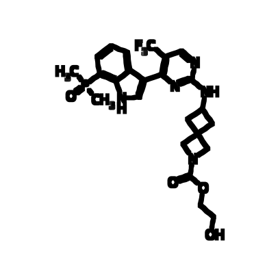 CP(C)(=O)c1cccc2c(-c3nc(NC4CC5(C4)CN(C(=O)OCCO)C5)ncc3C(F)(F)F)c[nH]c12